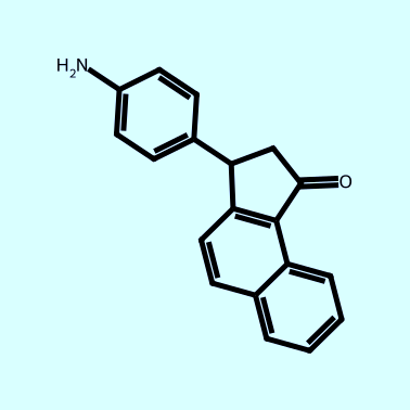 Nc1ccc(C2CC(=O)c3c2ccc2ccccc32)cc1